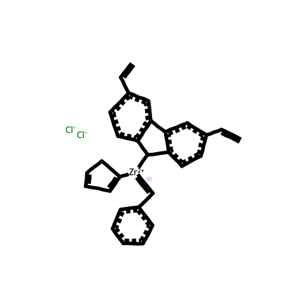 C=Cc1ccc2c(c1)-c1cc(C=C)ccc1[CH]2/[Zr+2](=[CH]/c1ccccc1)[C]1=CC=CC1.[Cl-].[Cl-]